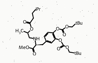 COC(=O)[C@H](Cc1ccc(OC(=O)OCC(C)(C)C)c(OC(=O)OCC(C)(C)C)c1)NCC(C)OC(=O)CCC(C)C